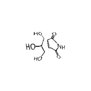 O=C1C=CC(=O)N1.OCC(O)CO